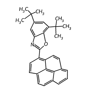 CC(C)(C)c1cc(C(C)(C)C)c2oc(-c3ccc4ccc5cccc6ccc3c4c56)nc2c1